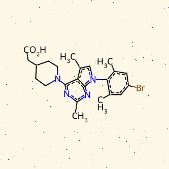 Cc1nc(N2CCC(CC(=O)O)CC2)c2c(C)cn(-c3c(C)cc(Br)cc3C)c2n1